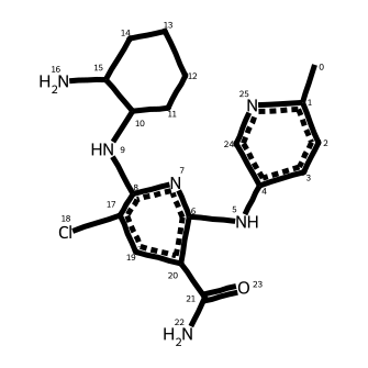 Cc1ccc(Nc2nc(NC3CCCCC3N)c(Cl)cc2C(N)=O)cn1